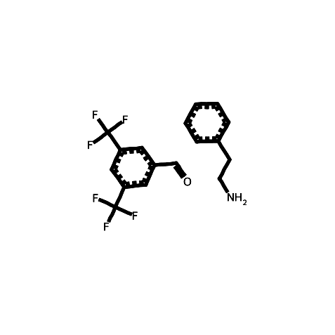 NCCc1ccccc1.O=Cc1cc(C(F)(F)F)cc(C(F)(F)F)c1